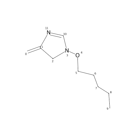 C=C1CN(OCCCCC)C=N1